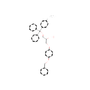 COc1ccc(C(OCC(O)COc2ccc(OCc3ccccc3)cc2)(c2ccccc2)c2ccccc2)cc1